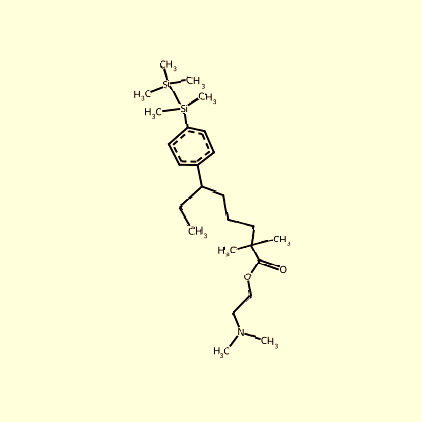 CCC(CCCC(C)(C)C(=O)OCCN(C)C)c1ccc([Si](C)(C)[Si](C)(C)C)cc1